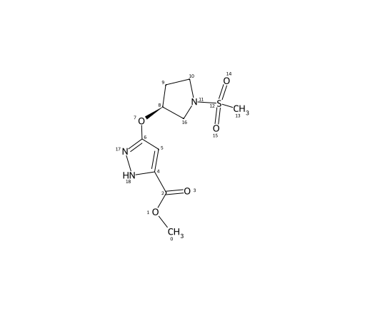 COC(=O)c1cc(O[C@H]2CCN(S(C)(=O)=O)C2)n[nH]1